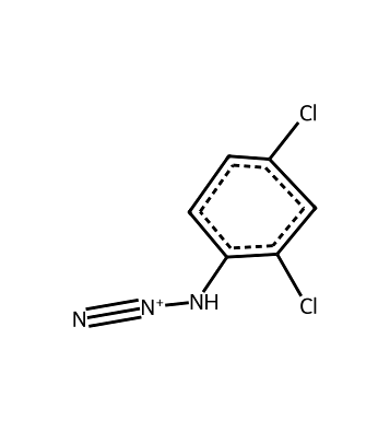 N#[N+]Nc1ccc(Cl)cc1Cl